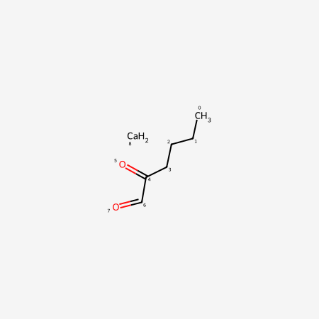 CCCCC(=O)C=O.[CaH2]